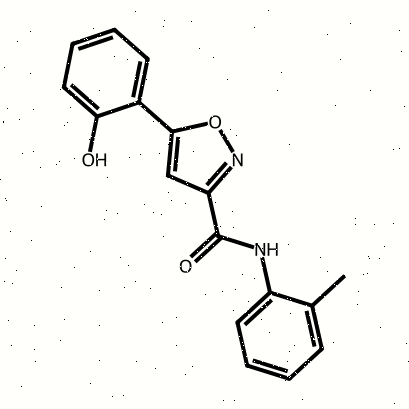 Cc1ccccc1NC(=O)c1cc(-c2ccccc2O)on1